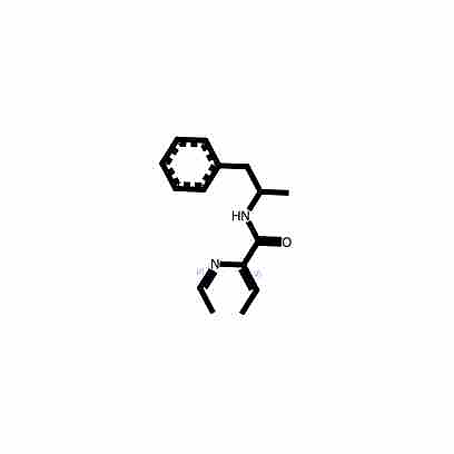 C/C=N\C(=C/C)C(=O)NC(C)Cc1ccccc1